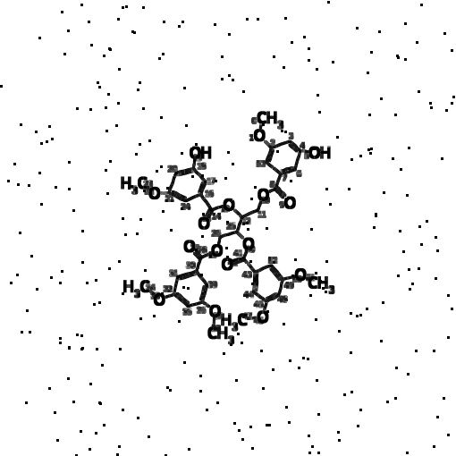 COc1cc(O)cc(C(=O)OCC(OC(=O)c2cc(O)cc(OC)c2)C(COC(=O)c2cc(OC)cc(OC)c2)OC(=O)c2cc(OC)cc(OC)c2)c1